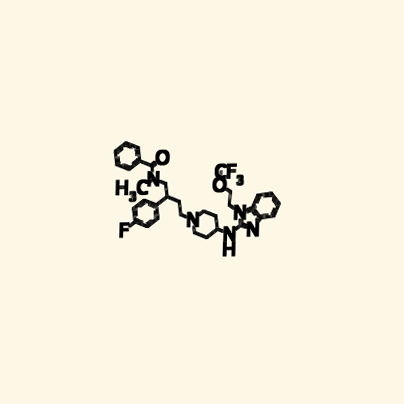 CN(CC(CCN1CCC(Nc2nc3ccccc3n2CCOC(F)(F)F)CC1)c1ccc(F)cc1)C(=O)c1ccccc1